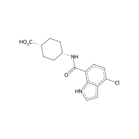 O=C(N[C@H]1CC[C@@H](C(=O)O)CC1)c1ccc(Cl)c2cc[nH]c12